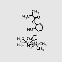 C=C(C)C(=O)OC1CCC[C@H](CC[Si](C)(O[Si](C)(C)C)O[Si](C)(C)C)[C@H]1O